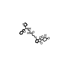 O=C(CCCSc1cccc2c1C(=O)N(C1CCC(=O)NC1=O)C2=O)NCCNC(c1cccnc1)c1cc2ccccc2o1